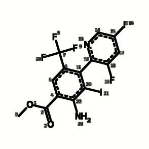 COC(=O)c1cc(C(F)(F)F)c(-c2ncc(F)cc2F)c(I)c1N